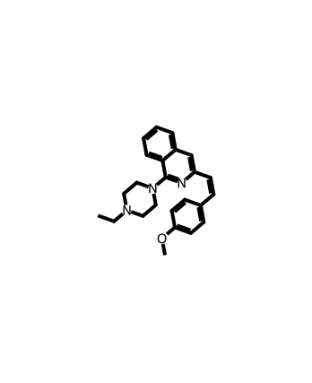 CCN1CCN(c2nc(/C=C\c3ccc(OC)cc3)cc3ccccc23)CC1